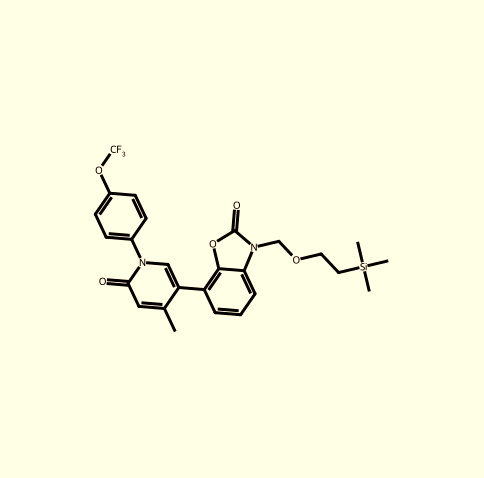 Cc1cc(=O)n(-c2ccc(OC(F)(F)F)cc2)cc1-c1cccc2c1oc(=O)n2COCC[Si](C)(C)C